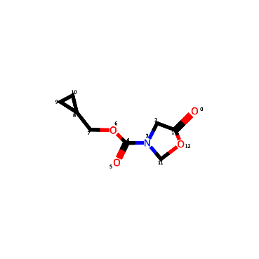 O=C1CN(C(=O)OCC2CC2)CO1